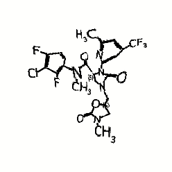 Cc1cc(C(F)(F)F)cc(N2C(=O)N(C[C@H]3CN(C)C(=O)O3)C[C@H]2C(=O)N(C)c2ccc(F)c(Cl)c2F)n1